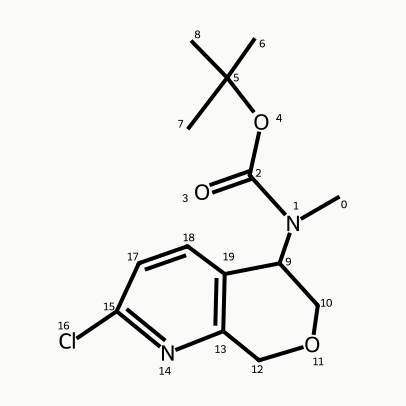 CN(C(=O)OC(C)(C)C)C1COCc2nc(Cl)ccc21